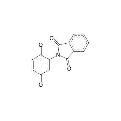 O=C1C=CC(=O)C(N2C(=O)c3ccccc3C2=O)=C1